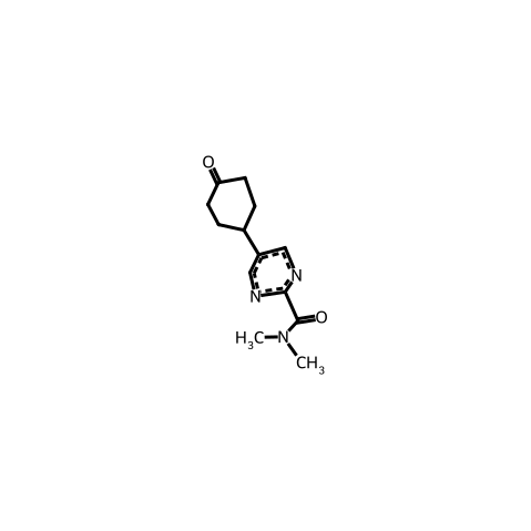 CN(C)C(=O)c1ncc(C2CCC(=O)CC2)cn1